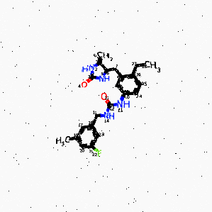 C=C1NC(=O)NC1Cc1cc(NC(=O)NCc2cc(C)cc(F)c2)ccc1CC